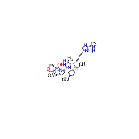 C/C=C(/c1ccc(C(C)(C)C)cc1)C(C#CC#Cc1cnc([C@@H]2CCCN2)[nH]1)C(C)/N=C(\N)[C@@H]1CCCN1C(O)[C@@H](NC(=O)OC)C(C)C